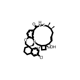 C[C@@H]1SNC(=O)c2ccc3c(c2)N(C[C@@H]2CC[C@H]2[C@@H](O)/C=C/C[C@@H]1C)C[C@@]1(CCCc2cc(Cl)ccc21)CO3